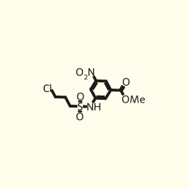 COC(=O)c1cc(NS(=O)(=O)CCCCl)cc([N+](=O)[O-])c1